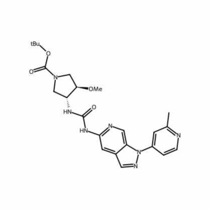 CO[C@@H]1CN(C(=O)OC(C)(C)C)C[C@H]1NC(=O)Nc1cc2cnn(-c3ccnc(C)c3)c2cn1